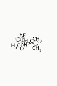 CC(=O)N1N=C(/C=C/C2C(C)=CCCC2(C)C)CC1c1ccccc1C(F)(F)F